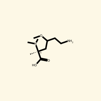 COC(CCN)C[C@@](C)(C(=O)O)N(C)C